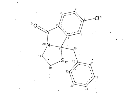 O=C1c2ccc(Cl)cc2C2(Cc3ccccc3)SCCN12